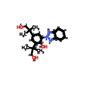 CC(C)(CO)c1cc(-n2nc3ccccc3n2)c(O)c(C(C)(C)CO)c1